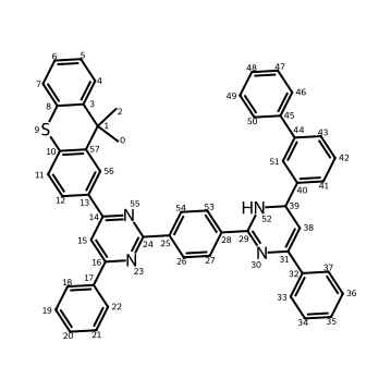 CC1(C)c2ccccc2Sc2ccc(-c3cc(-c4ccccc4)nc(-c4ccc(C5=NC(c6ccccc6)=CC(c6cccc(-c7ccccc7)c6)N5)cc4)n3)cc21